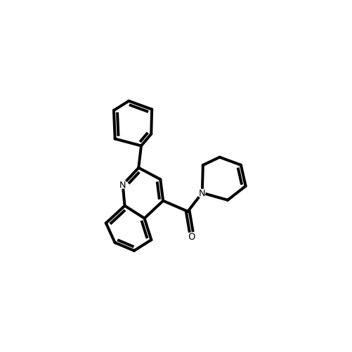 O=C(c1cc(-c2ccccc2)nc2ccccc12)N1CC=CCC1